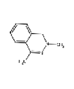 CC1=NN(C)Cc2ccccc21